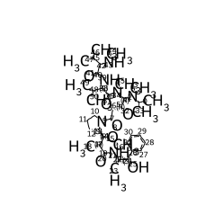 CCN(C)[C@@H]([C@@H](CC(=O)N1CCC[C@H]1[C@H](OC)[C@@H](C)C(=O)N[C@H](C)[C@@H](O)c1ccccc1)OC)N(C)C(=O)[C@@H](NC(=O)C(NC)C(C)C)C(C)C